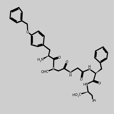 CC(C)C[C@H](NC(=O)[C@H](Cc1ccccc1)NC(=O)CNC(=O)CN(C=O)C(=O)[C@@H](N)Cc1ccc(OCc2ccccc2)cc1)C(=O)O